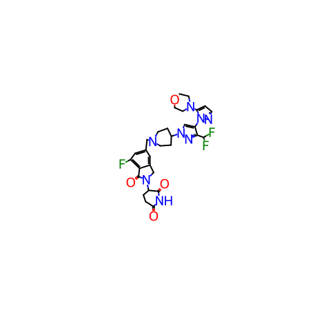 O=C1CCC(N2Cc3cc(CN4CCC(n5cc(-n6nccc6N6CCOCC6)c(C(F)F)n5)CC4)cc(F)c3C2=O)C(=O)N1